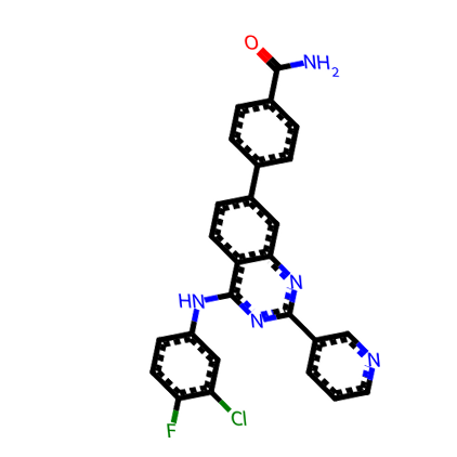 NC(=O)c1ccc(-c2ccc3c(Nc4ccc(F)c(Cl)c4)nc(-c4cccnc4)nc3c2)cc1